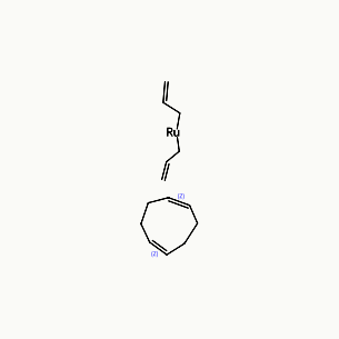 C1=C\CC/C=C\CC/1.C=C[CH2][Ru][CH2]C=C